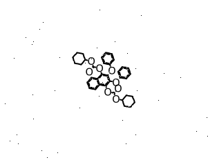 O=C(Oc1c(Oc2ccccc2)c(Oc2ccccc2)c(OC(=O)OC2CCCCC2)c2ccccc12)OC1CCCCC1